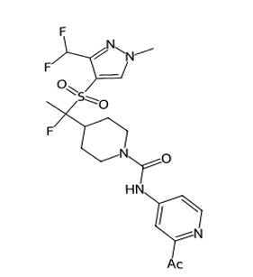 CC(=O)c1cc(NC(=O)N2CCC(C(C)(F)S(=O)(=O)c3cn(C)nc3C(F)F)CC2)ccn1